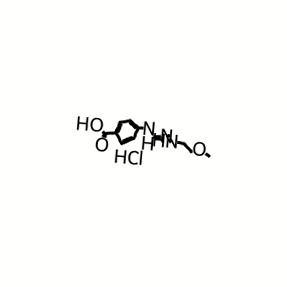 COCCNN=CNc1ccc(C(=O)O)cc1.Cl